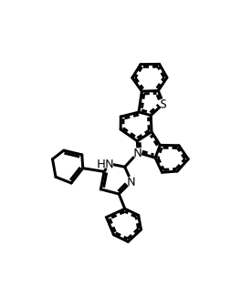 C1=CC(C2=CC(c3ccccc3)=NC(n3c4ccccc4c4c5sc6ccccc6c5ccc43)N2)=CCC1